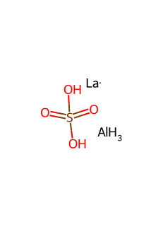 O=S(=O)(O)O.[AlH3].[La]